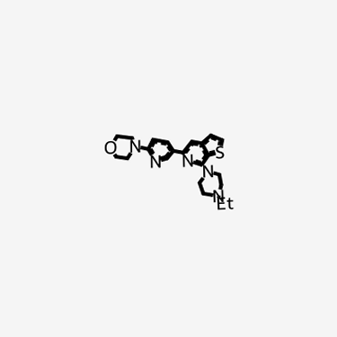 CCN1CCN(c2nc(-c3ccc(N4CCOCC4)nc3)cc3ccsc23)CC1